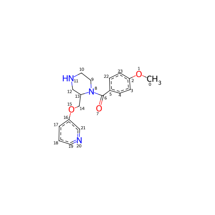 COc1ccc(C(=O)N2CCNCC2COc2cccnc2)cc1